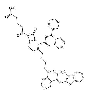 C[n+]1c(C=C2C=CN(CCSCC3=C(C(=O)OC(c4ccccc4)c4ccccc4)N4C(=O)C(C(=O)CCCC(=O)O)C4SC3)c3ccccc32)sc2ccccc21